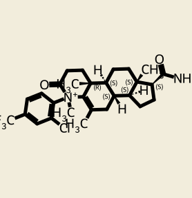 CC1=C2[C@](C)(CCC(=O)[N+]2(C)c2ccc(C(F)(F)F)cc2Cl)[C@H]2CC[C@]3(C)[C@@H](C(N)=O)CC[C@H]3[C@@H]2C1